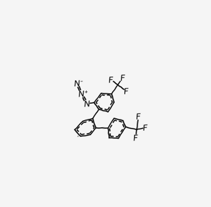 [N-]=[N+]=Nc1cc(C(F)(F)F)ccc1-c1cc[c]cc1-c1ccc(C(F)(F)F)cc1